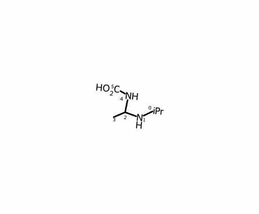 CC(C)NC(C)NC(=O)O